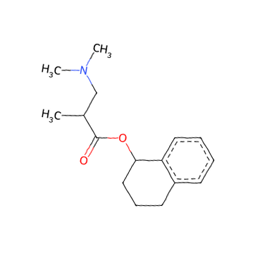 CC(CN(C)C)C(=O)OC1CCCc2ccccc21